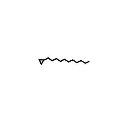 CCCCCCCCCC[CH]C1CC1